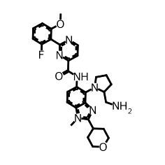 COc1cccc(F)c1-c1nccc(C(=O)Nc2ccc3c(nc(C4CCOCC4)n3C)c2N2CCCC2CN)n1